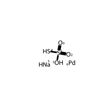 O=S(=O)(O)S.[NaH].[Pd]